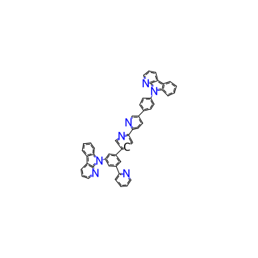 c1ccc(-c2cc(-c3ccc(-c4ccc(-c5ccc(-n6c7ccccc7c7cccnc76)cc5)cn4)nc3)cc(-n3c4ccccc4c4cccnc43)c2)nc1